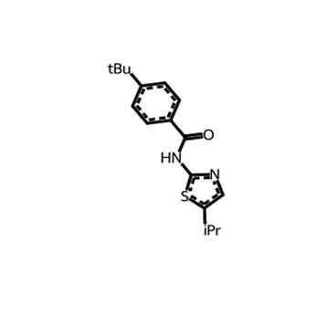 CC(C)c1cnc(NC(=O)c2ccc(C(C)(C)C)cc2)s1